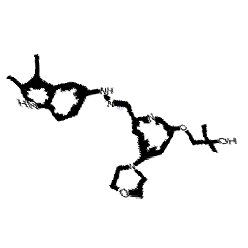 Cc1[nH]c2ccc(N/N=C/c3cc(N4CCOCC4)cc(OCC(C)(C)O)n3)cc2c1C